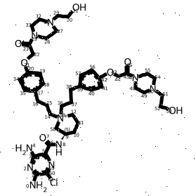 Nc1nc(N)c(C(=O)N[C@H]2CCC[N+](CCCc3ccc(OCC(=O)N4CCN(CCO)CC4)cc3)(CCCc3ccc(OCC(=O)N4CCN(CCO)CC4)cc3)C2)nc1Cl